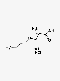 Cl.Cl.NCCCOC[C@H](N)C(=O)O